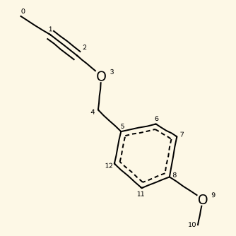 CC#COCc1ccc(OC)cc1